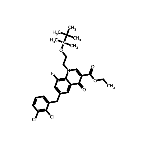 CCOC(=O)c1cn(CCO[Si](C)(C)C(C)(C)C)c2c(F)cc(Cc3cccc(Cl)c3Cl)cc2c1=O